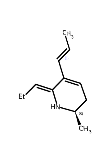 C/C=C/C1=CC[C@@H](C)NC1=CCC